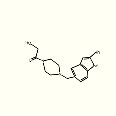 CC(C)c1cc2cc(CN3CCN(C(=O)CO)CC3)ccc2[nH]1